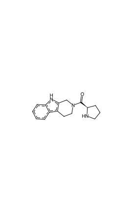 O=C([C@H]1CCCN1)N1CCc2c([nH]c3ccccc23)C1